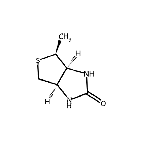 C[C@@H]1SC[C@@H]2NC(=O)N[C@@H]21